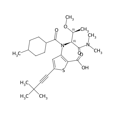 CO[C@@H](C)[C@@H](C(=O)N(C)C)N(C(=O)C1CCC(C)CC1)c1cc(C#CC(C)(C)C)sc1C(=O)O